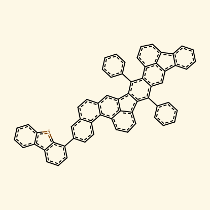 c1ccc(-c2c3cc4c5ccccc5c5cccc(c3c(-c3ccccc3)c3c6cc7ccc8cc(-c9cccc%10c9sc9ccccc9%10)ccc8c7c7cccc(c23)c67)c54)cc1